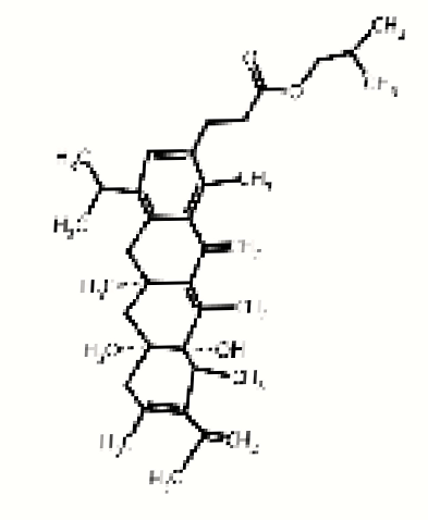 C=C(C)C1=C(C)C[C@@]2(C)C[C@@]3(C)Cc4c(C(C)C)cc(CCC(=O)OCC(C)C)c(C)c4C(=C)C3=C(C)[C@@]2(O)C1C